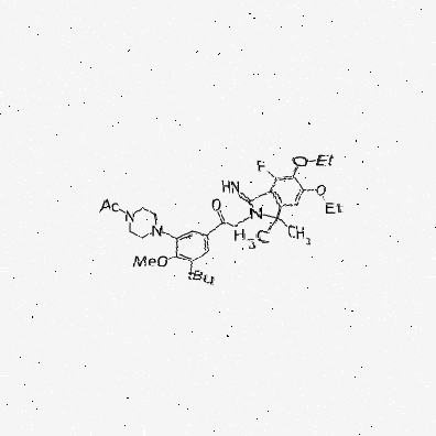 CCOc1cc2c(c(F)c1OCC)C(=N)N(CC(=O)c1cc(N3CCN(C(C)=O)CC3)c(OC)c(C(C)(C)C)c1)C2(C)C